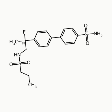 CCCS(=O)(=O)NC[C@@](C)(F)c1ccc(-c2ccc(S(N)(=O)=O)cc2)cc1